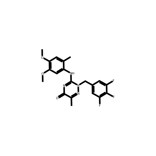 COc1cc(C)c(Nc2nc(=O)c(C)nn2Cc2cc(F)c(F)c(F)c2)cc1OC